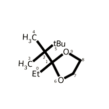 CCC1(C(C)(C)C(C)(C)C)OCCO1